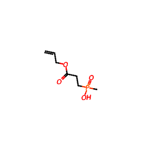 C=CCOC(=O)CCP(C)(=O)O